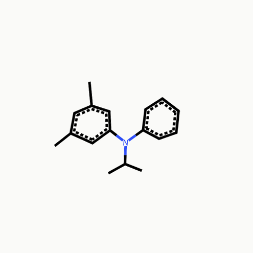 Cc1cc(C)cc(N(c2ccccc2)C(C)C)c1